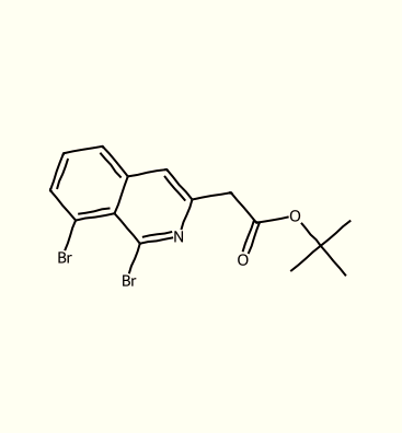 CC(C)(C)OC(=O)Cc1cc2cccc(Br)c2c(Br)n1